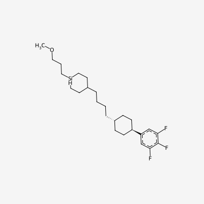 COCCC[SiH]1CCC(CCCC[C@H]2CC[C@H](c3cc(F)c(F)c(F)c3)CC2)CC1